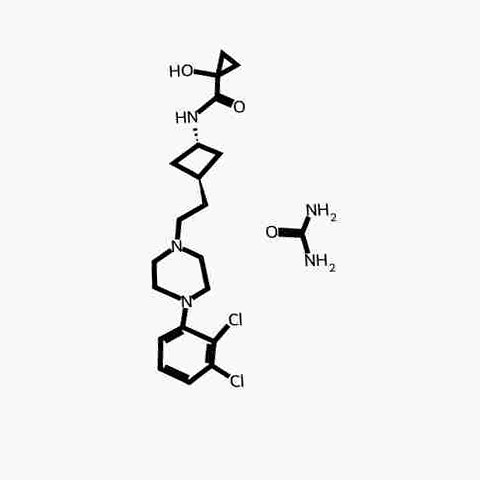 NC(N)=O.O=C(N[C@H]1C[C@H](CCN2CCN(c3cccc(Cl)c3Cl)CC2)C1)C1(O)CC1